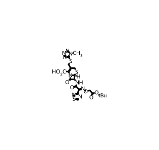 Cn1nnnc1SCC1=C(C(=O)O)N2C(=O)C(NC(=O)C(=NOCC(=O)OC(C)(C)C)c3ncsn3)[C@@H]2SC1